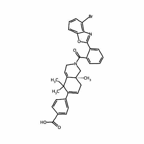 CC1(C)C(c2ccc(C(=O)O)cc2)=CC[C@]2(C)CN(C(=O)c3ccccc3-c3nc4c(Br)cccc4o3)CC=C12